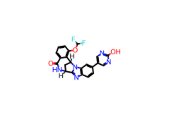 O=C1N[C@@H]2C[C@H](c3c(OC(F)F)cccc31)n1c2nc2ccc(-c3cnc(O)nc3)cc21